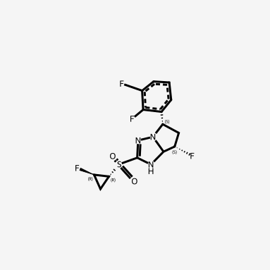 O=S(=O)(C1=NN2C(N1)[C@@H](F)C[C@H]2c1cccc(F)c1F)[C@@H]1C[C@H]1F